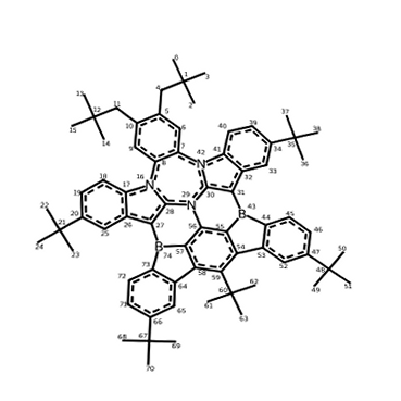 CC(C)(C)Cc1cc2c(cc1CC(C)(C)C)n1c3ccc(C(C)(C)C)cc3c3c1n1c4c(c5cc(C(C)(C)C)ccc5n24)B2c4ccc(C(C)(C)C)cc4-c4c2c-1c1c(c4C(C)(C)C)-c2cc(C(C)(C)C)ccc2B13